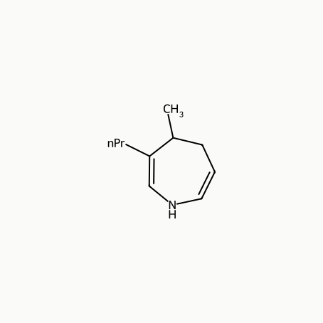 CCCC1=CNC=CCC1C